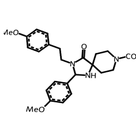 COc1ccc(CCN2C(=O)C3(CCN(C(=O)O)CC3)NC2c2ccc(OC)cc2)cc1